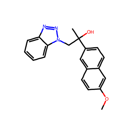 COc1ccc2cc(C(C)(O)Cn3nnc4ccccc43)ccc2c1